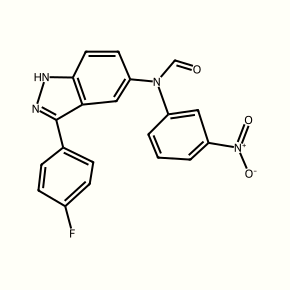 O=CN(c1cccc([N+](=O)[O-])c1)c1ccc2[nH]nc(-c3ccc(F)cc3)c2c1